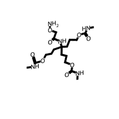 CNC(=O)OCCCC(CCCOC(=O)NC)(CCCOC(=O)NC)NC(=O)CON